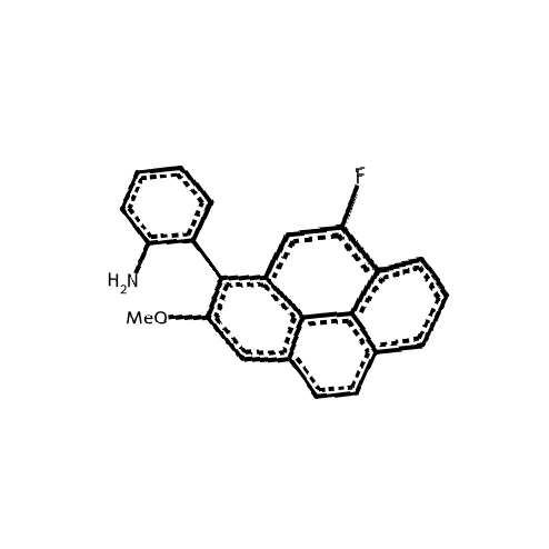 COc1cc2ccc3cccc4c(F)cc(c1-c1ccccc1N)c2c34